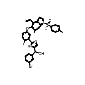 C=Cc1c(Oc2ccc(F)c(-c3ncc(C(O)c4cccc(Br)c4)[nH]3)c2)c(F)cc2c1ccn2S(=O)(=O)c1ccc(C)cc1